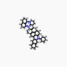 C1=CC(N(c2ccccn2)c2cccc3ccccc23)C2=CCc3ccc(N(c4ccccc4)c4ccc5ccccc5c4)c4ccc1c2c34